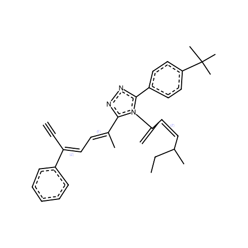 C#C/C(=C\C=C(/C)c1nnc(-c2ccc(C(C)(C)C)cc2)n1C(=C)/C=C\C(C)CC)c1ccccc1